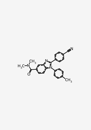 Cc1ccc(-n2c(-c3ccc(C#N)cc3)nc3cc(C(=O)N(C)C)ccc32)cc1